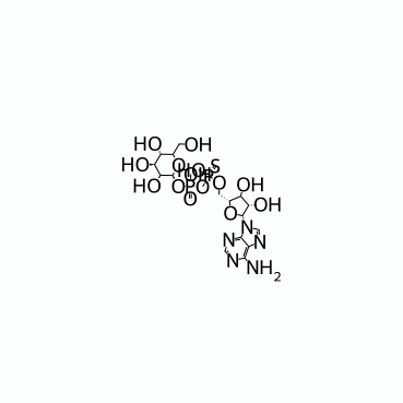 Nc1ncnc2c1ncn2[C@@H]1O[C@H](COP(O)(=S)OP(=O)(O)O[C@@H]2OC(CO)[C@@H](O)[C@H](O)C2O)C(O)[C@@H]1O